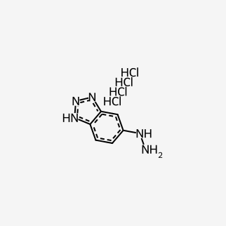 Cl.Cl.Cl.Cl.NNc1ccc2[nH]nnc2c1